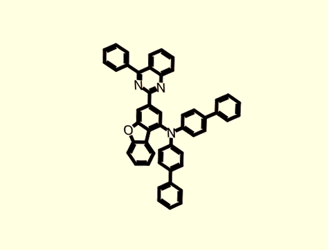 c1ccc(-c2ccc(N(c3ccc(-c4ccccc4)cc3)c3cc(-c4nc(-c5ccccc5)c5ccccc5n4)cc4oc5ccccc5c34)cc2)cc1